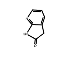 O=C1[CH]c2cccnc2N1